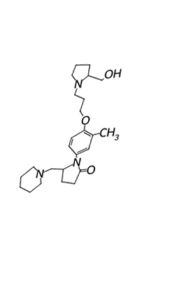 Cc1cc(N2C(=O)CCC2CN2CCCCC2)ccc1OCCCN1CCCC1CO